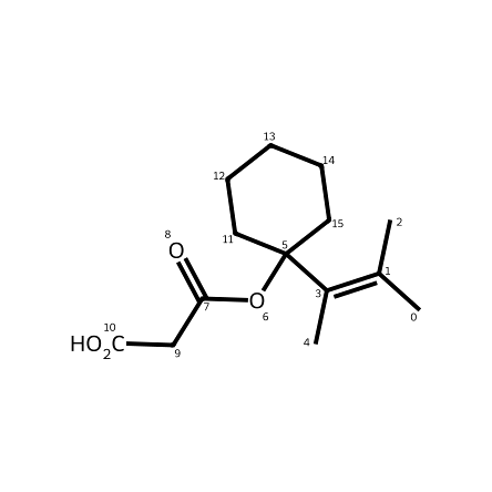 CC(C)=C(C)C1(OC(=O)CC(=O)O)CCCCC1